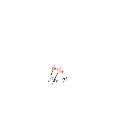 CC(C)O.CC(C)O.[Hf]